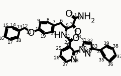 NC(=O)C(=O)C(Cc1ccc(OCc2ccccc2)cc1)NC(=O)c1cccnc1-n1ccc(-c2ccccc2)n1